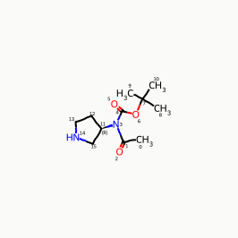 CC(=O)N(C(=O)OC(C)(C)C)[C@@H]1CCNC1